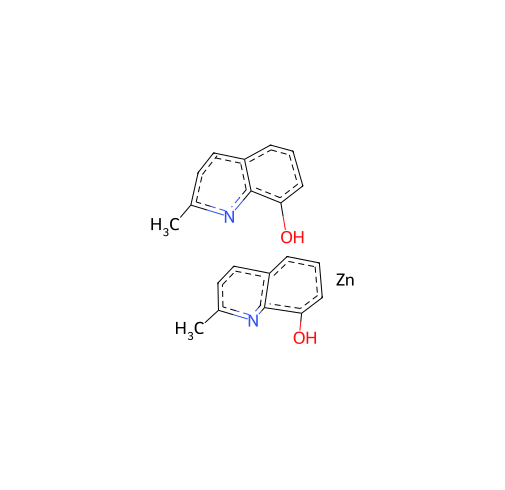 Cc1ccc2cccc(O)c2n1.Cc1ccc2cccc(O)c2n1.[Zn]